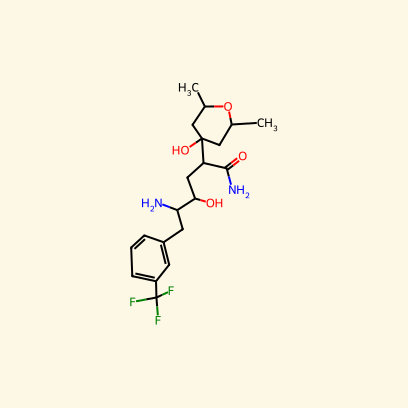 CC1CC(O)(C(CC(O)C(N)Cc2cccc(C(F)(F)F)c2)C(N)=O)CC(C)O1